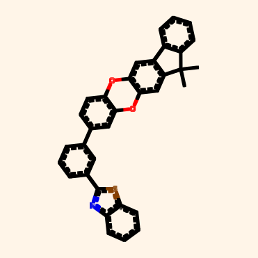 CC1(C)c2ccccc2-c2cc3c(cc21)Oc1cc(-c2cccc(-c4nc5ccccc5s4)c2)ccc1O3